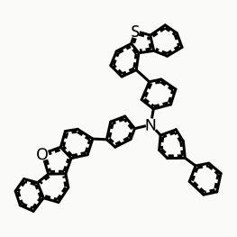 c1ccc(-c2ccc(N(c3ccc(-c4ccc5oc6c7ccccc7ccc6c5c4)cc3)c3cccc(-c4cccc5sc6ccccc6c45)c3)cc2)cc1